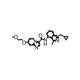 COCCOc1ccn2c(C(=O)Nc3cccc4c3c(C)nn4CC3CC3)cnc2c1